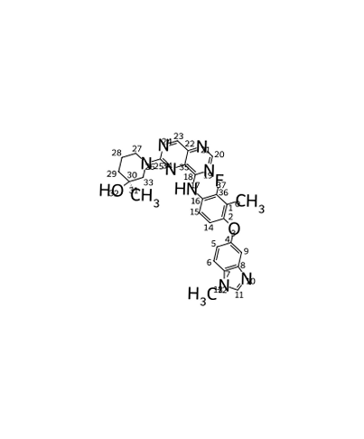 Cc1c(Oc2ccc3c(c2)ncn3C)ccc(Nc2ncnc3cnc(N4CCC[C@](C)(O)C4)nc23)c1F